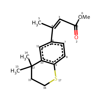 COC(=O)/C=C(/C)c1ccc2c(c1)C(C)(C)CCS2